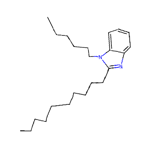 CCCCCCCCCCc1nc2ccccc2n1CCCCCC